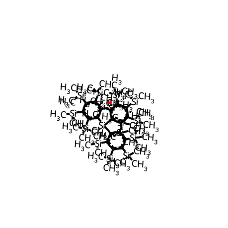 C[Si](C)(C)c1c([Si](C)(C)C)c([Si](C)(C)C)c([Si](Cl)(c2c([Si](C)(C)C)c([Si](C)(C)C)c([Si](C)(C)C)c([Si](C)(C)C)c2[Si](C)(C)C)c2c([Si](C)(C)C)c([Si](C)(C)C)c([Si](C)(C)C)c([Si](C)(C)C)c2[Si](C)(C)C)c([Si](C)(C)C)c1[Si](C)(C)C